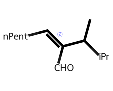 CCCCC/C=C(\C=O)C(C)C(C)C